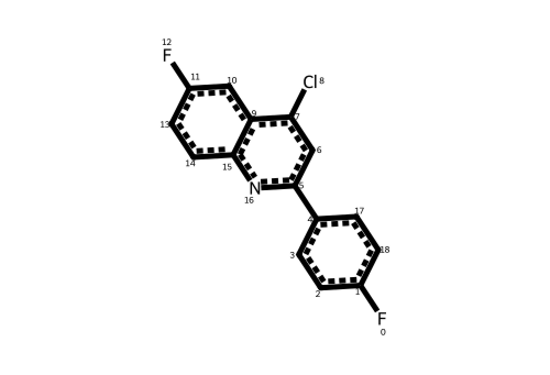 Fc1ccc(-c2cc(Cl)c3cc(F)ccc3n2)cc1